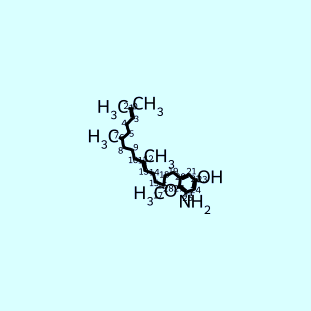 CC(C)=CCCC(C)CCC/C(C)=C/CCC1(C)CCc2cc(O)cc(N)c2O1